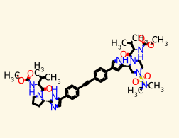 COC(=O)N[C@H](C(=O)N1CCN(S(=O)(=O)N(C)C)C[C@H]1c1cc(-c2ccc(C#Cc3ccc(-c4cnc([C@@H]5CCCN5C(=O)[C@@H](NC(=O)OC)C(C)C)[nH]4)cc3)cc2)c[nH]1)C(C)C